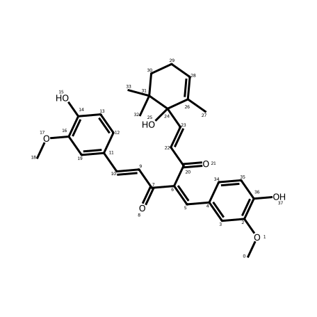 COc1cc(/C=C(/C(=O)/C=C/c2ccc(O)c(OC)c2)C(=O)/C=C/C2(O)C(C)=CCCC2(C)C)ccc1O